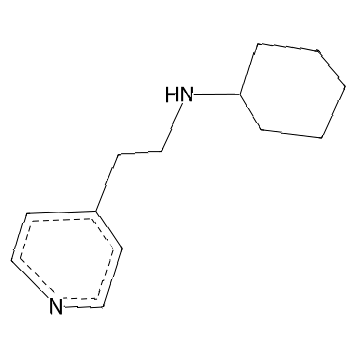 c1cc(CCNC2CCCCC2)ccn1